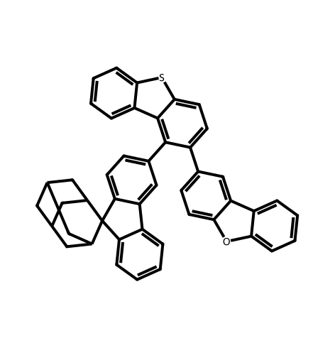 c1ccc2c(c1)-c1cc(-c3c(-c4ccc5oc6ccccc6c5c4)ccc4sc5ccccc5c34)ccc1C21C2CC3CC(C2)CC1C3